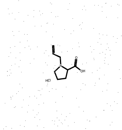 C=CCN1CCCC1C(=O)O.Cl